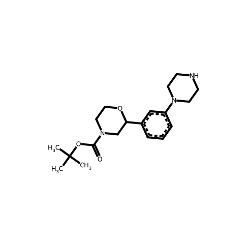 CC(C)(C)OC(=O)N1CCOC(c2cccc(N3CCNCC3)c2)C1